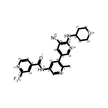 Cc1ncc(NC(=O)c2ccnc(C(F)(F)F)c2)cc1-c1cnc(NC2CCOCC2)c(C#N)c1